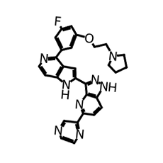 Fc1cc(OCCN2CCCC2)cc(-c2nccc3[nH]c(-c4n[nH]c5ccc(-c6cnccn6)nc45)cc23)c1